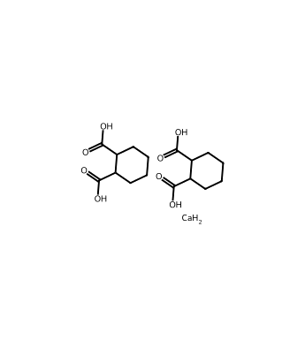 O=C(O)C1CCCCC1C(=O)O.O=C(O)C1CCCCC1C(=O)O.[CaH2]